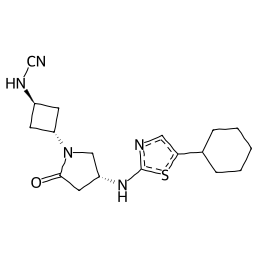 N#CN[C@H]1C[C@H](N2C[C@H](Nc3ncc(C4CCCCC4)s3)CC2=O)C1